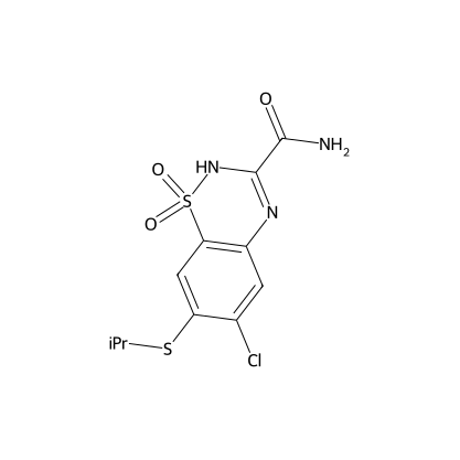 CC(C)Sc1cc2c(cc1Cl)N=C(C(N)=O)NS2(=O)=O